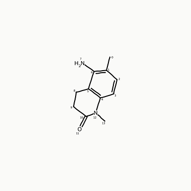 Cc1ccc2c(c1N)CCC(=O)N2C